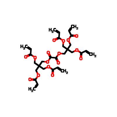 C=CC(=O)OCC(COC(=O)C=C)(COC(=O)C=C)COC(=O)C(=O)OCC(COC(=O)C=C)(COC(=O)C=C)COC(=O)C=C